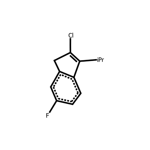 CC(C)C1=C(Cl)Cc2cc(F)ccc21